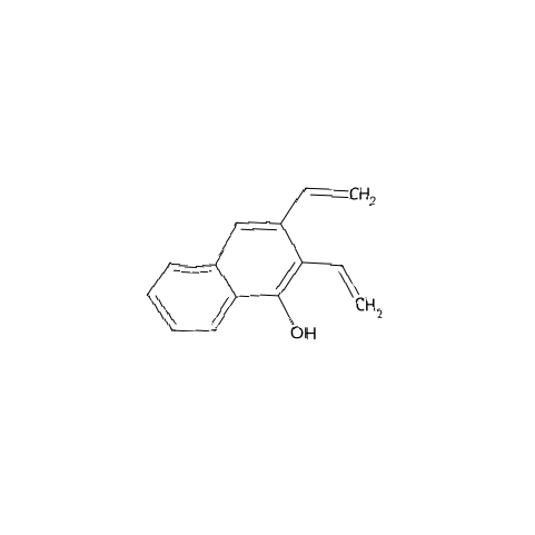 C=Cc1cc2ccccc2c(O)c1C=C